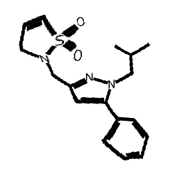 CC(C)Cn1nc(CN2CC=CS2(=O)=O)cc1-c1ccccc1